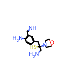 N=Cc1cc(CC(S)(CN)N2CCOCC2)ccc1N